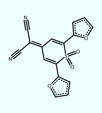 N#CC(C#N)=C1C=C(c2ccco2)S(=O)(=O)C(c2ccco2)=C1